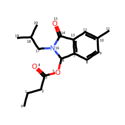 CCCC(=O)OC1c2ccc(C)cc2C(=O)N1CC(C)C